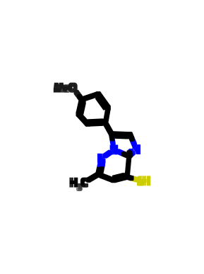 COc1ccc(-c2cnc3c(S)cc(C)nn23)cc1